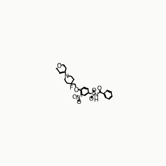 O=C(NS(=O)(=O)c1ccc(OCC2(F)CCN(C3CCOCC3)CC2)c([N+](=O)[O-])c1)c1ccccc1